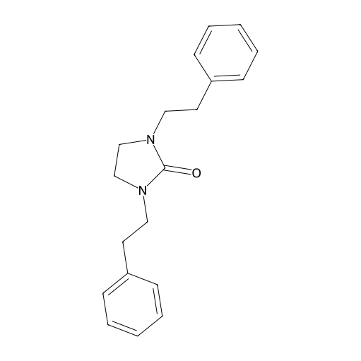 O=C1N(CCc2ccccc2)CCN1CCc1ccccc1